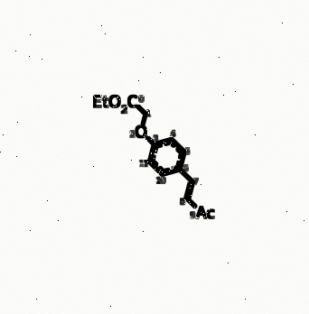 CCOC(=O)COc1ccc(/C=C/C(C)=O)cc1